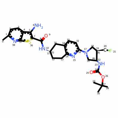 Cc1ccc2c(N)c(C(=O)N[C@H]3CCc4nc(N5C[C@@H](CF)[C@@H](NC(=O)OC(C)(C)C)C5)ccc4C3)sc2n1